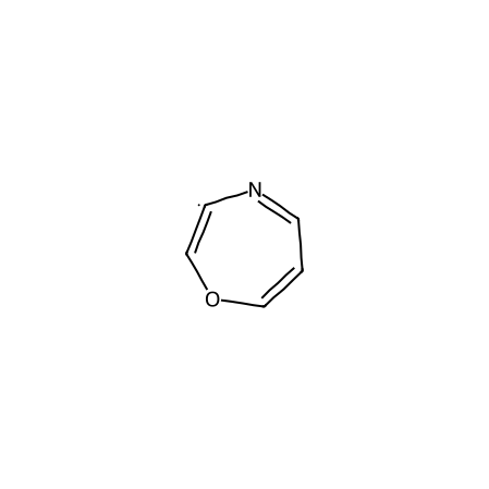 [C]1=COC=CC=N1